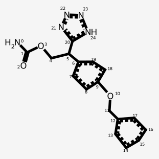 NC(=O)OCC(c1ccc(OCc2ccccc2)cc1)c1nnn[nH]1